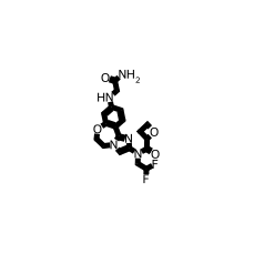 NC(=O)CNc1ccc2c(c1)OCCn1cc(N(CC(F)F)C(=O)C3CCO3)nc1-2